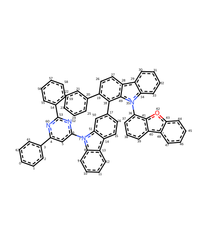 c1ccc(-c2cc(-n3c4ccccc4c4ccc(-c5c(-c6ccccc6)ccc6c7ccccc7n(-c7cccc8c7oc7ccccc78)c56)cc43)nc(-c3ccccc3)n2)cc1